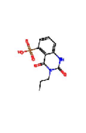 CCCn1c(=O)[nH]c2cccc(S(=O)(=O)O)c2c1=O